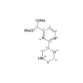 COC(OC)c1ccnc(C2CNCCO2)n1